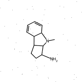 CN1C2C=CC=CC2C2CCC(N)C21